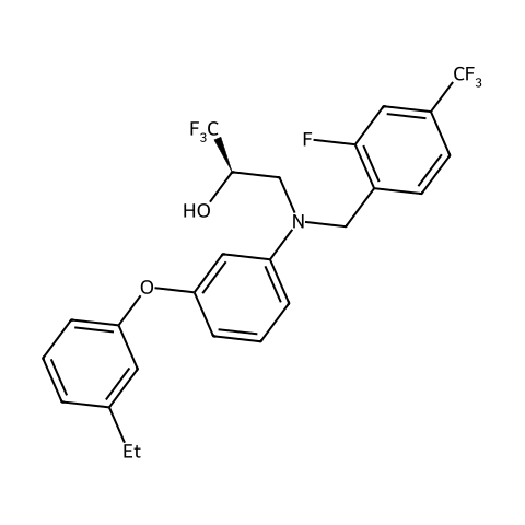 CCc1cccc(Oc2cccc(N(Cc3ccc(C(F)(F)F)cc3F)C[C@@H](O)C(F)(F)F)c2)c1